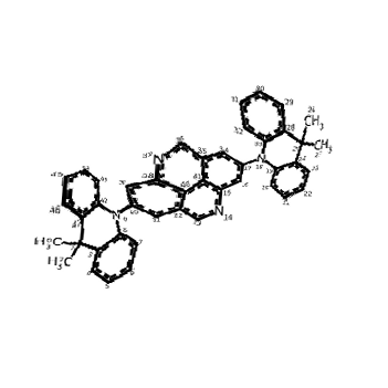 CC1(C)c2ccccc2N(c2cc3cnc4cc(N5c6ccccc6C(C)(C)c6ccccc65)cc5cnc(c2)c3c54)c2ccccc21